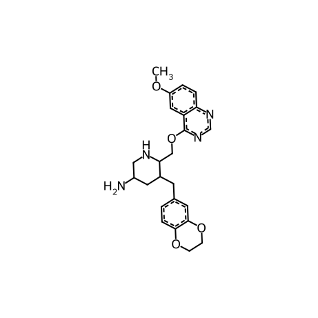 COc1ccc2ncnc(OCC3NCC(N)CC3Cc3ccc4c(c3)OCCO4)c2c1